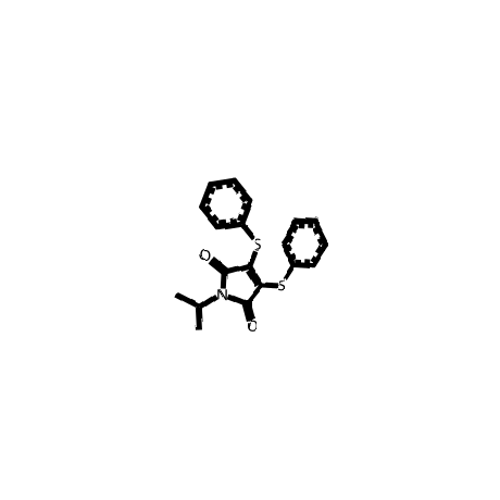 CC(C)N1C(=O)C(Sc2ccccc2)=C(Sc2ccccc2)C1=O